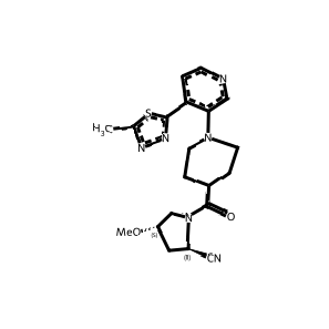 CO[C@H]1C[C@H](C#N)N(C(=O)C2CCN(c3cnccc3-c3nnc(C)s3)CC2)C1